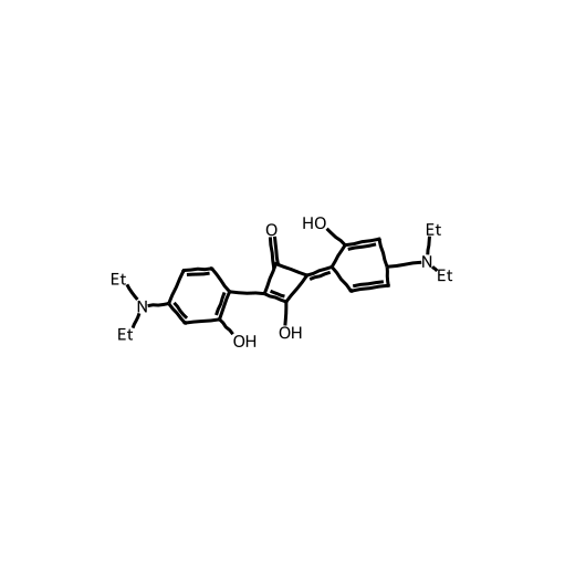 CCN(CC)c1ccc(C2=C(O)/C(=C3\C=CC(N(CC)CC)C=C3O)C2=O)c(O)c1